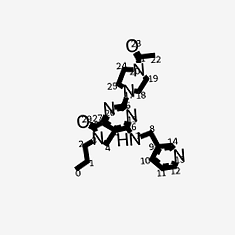 CCCN1Cc2c(NCc3cccnc3)nc(N3CCN(C(C)=O)CC3)nc2C1=O